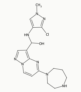 Cn1cc(NC(O)c2cnn3ccc(N4CCCNCC4)nc23)c(Cl)n1